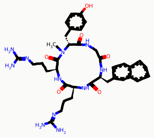 CN1C(=O)[C@H](CCCN=C(N)N)NC(=O)[C@H](CCCN=C(N)N)NC(=O)[C@H](Cc2ccc3ccccc3c2)NC(=O)CNC(=O)[C@H]1Cc1ccc(O)cc1